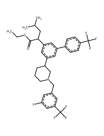 CCOC(=O)C(CC(C)C)c1cc(-c2ccc(C(F)(F)F)cc2)cc(C2CCCN(Cc3cc(F)cc(C(F)(F)F)c3)C2)c1